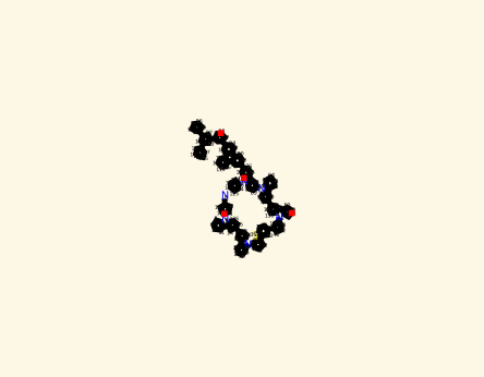 N#Cc1ccc(-n2c3ccccc3c3cc(-c4ccc5c(c4)c4ccccc4n5-c4cccc5c4sc4ccc(-c6cccc(-n7c8ccccc8c8cc(-c9ccc%10c(c9)c9ccccc9n%10-c9ccc%10c(c9)c9ccc(-c%11ccc%12c%13ccc(-c%14cccc(-c%15cc(-c%16ccccc%16)cc(-c%16ccccc%16)c%15)c%14)cc%13c%13ccccc%13c%12c%11)cc9n%10-c9ccccc9)ccc87)c6)cc45)ccc32)cc1